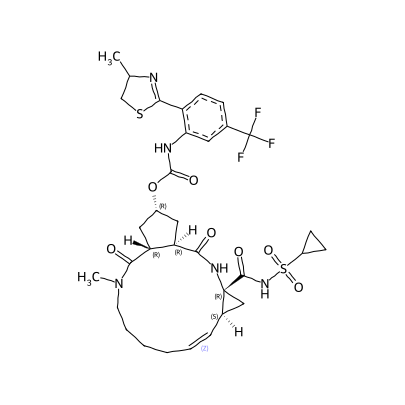 CC1CSC(c2ccc(C(F)(F)F)cc2NC(=O)O[C@@H]2C[C@H]3C(=O)N[C@]4(C(=O)NS(=O)(=O)C5CC5)C[C@H]4/C=C\CCCCN(C)C(=O)[C@@H]3C2)=N1